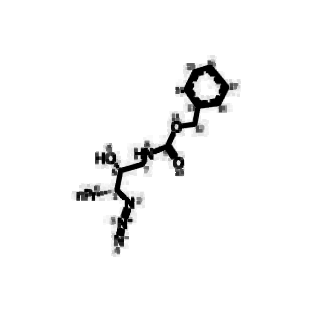 CCC[C@@H](N=[N+]=[N-])[C@H](O)CNC(=O)OCc1ccccc1